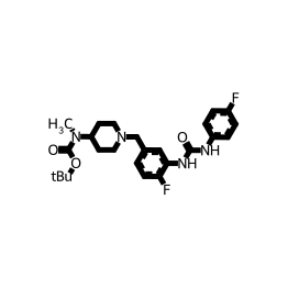 CN(C(=O)OC(C)(C)C)C1CCN(Cc2ccc(F)c(NC(=O)Nc3ccc(F)cc3)c2)CC1